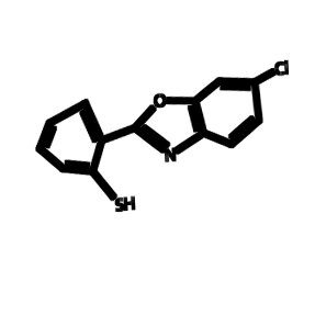 Sc1ccccc1-c1nc2ccc(Cl)cc2o1